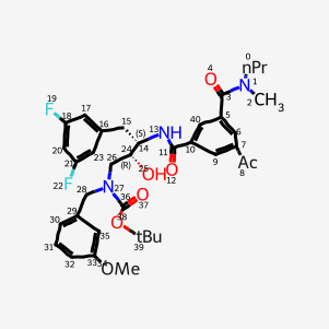 CCCN(C)C(=O)c1cc(C(C)=O)cc(C(=O)N[C@@H](Cc2cc(F)cc(F)c2)[C@H](O)CN(Cc2cccc(OC)c2)C(=O)OC(C)(C)C)c1